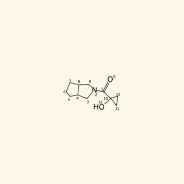 O=C(N1CC2CCCC2C1)C1(O)CC1